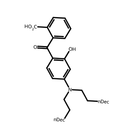 CCCCCCCCCCCCN(CCCCCCCCCCCC)c1ccc(C(=O)c2ccccc2C(=O)O)c(O)c1